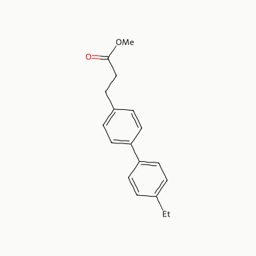 CCc1ccc(-c2ccc(CCC(=O)OC)cc2)cc1